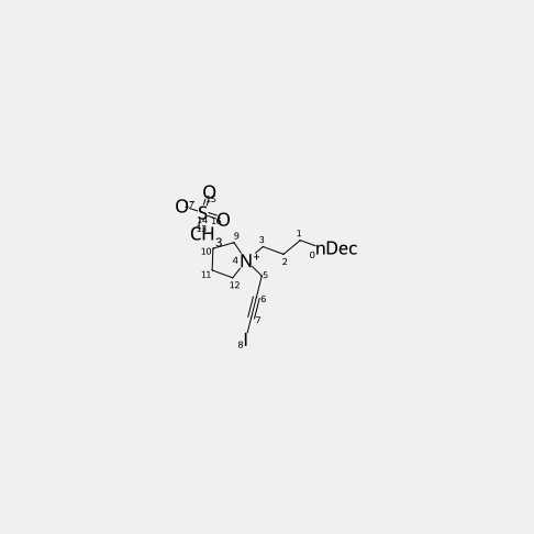 CCCCCCCCCCCCC[N+]1(CC#CI)CCCC1.CS(=O)(=O)[O-]